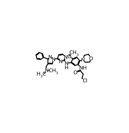 COc1cc(N2CCOCC2)c(NC(=O)CCCl)cc1Nc1nccc(-n2cc(CN(C)C)c(-c3ccccc3)n2)n1